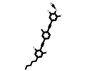 CCCCCc1cc(F)c(C#Cc2ccc(C#Cc3cc(F)c(SC#N)c(F)c3)c(C)c2)c(F)c1